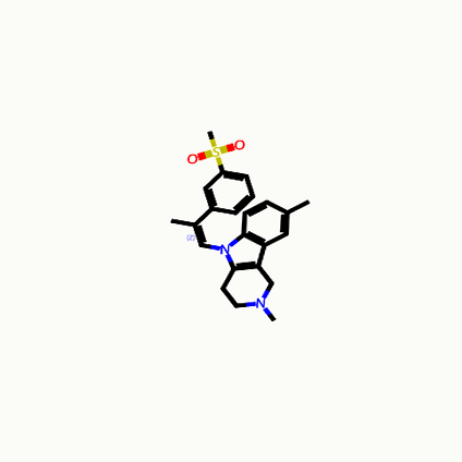 C/C(=C/n1c2c(c3cc(C)ccc31)CN(C)CC2)c1cccc(S(C)(=O)=O)c1